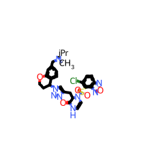 CC(C)N(C)Cc1ccc2c(c1)OCCC2n1cc(CC2C(=O)NC=CN2S(=O)(=O)c2c(Cl)ccc3nonc23)nn1